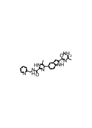 C=C(C)/N=C(\ON)c1cc2cc(-c3nc(C(=O)NCc4ccccn4)[nH]c3C)ccc2[nH]1